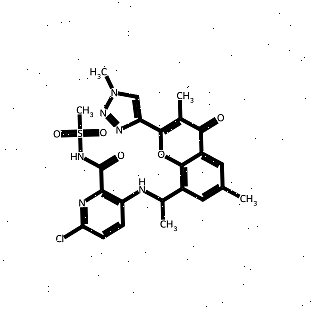 Cc1cc(C(C)Nc2ccc(Cl)nc2C(=O)NS(C)(=O)=O)c2oc(-c3cn(C)nn3)c(C)c(=O)c2c1